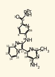 CCCNC(=O)c1ccc(Nc2nc3ccccn3c2-c2cc(N)nc(C)n2)cn1